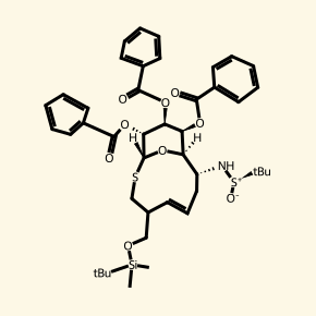 CC(C)(C)[S@@+]([O-])N[C@@H]1C/C=C/C(CO[Si](C)(C)C(C)(C)C)CS[C@H]2O[C@H]1[C@H](OC(=O)c1ccccc1)[C@H](OC(=O)c1ccccc1)[C@H]2OC(=O)c1ccccc1